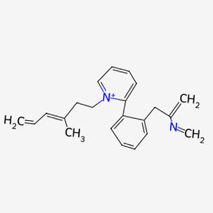 C=C/C=C(\C)CC[n+]1ccccc1-c1ccccc1CC(=C)N=C